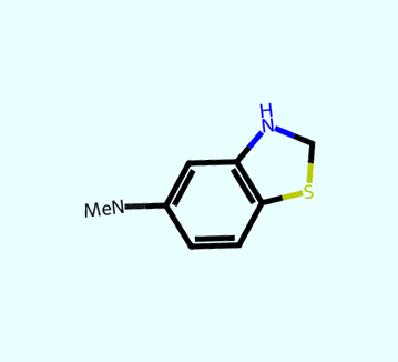 CNc1ccc2c(c1)NCS2